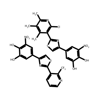 Cc1nc(Cl)c(-c2nc(-c3cc(O)c(O)c([N+](=O)[O-])c3)cs2)c(C)c1C.O=[N+]([O-])c1cc(-c2csc(-c3cccnc3C(F)(F)F)n2)cc(O)c1O